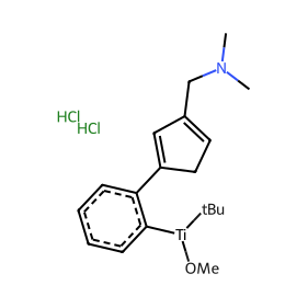 C[O][Ti]([c]1ccccc1C1=CC(CN(C)C)=CC1)[C](C)(C)C.Cl.Cl